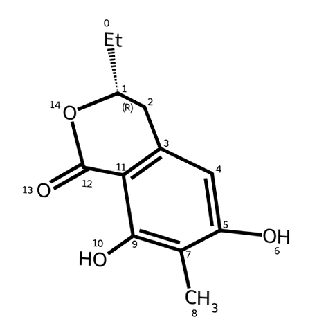 CC[C@@H]1Cc2cc(O)c(C)c(O)c2C(=O)O1